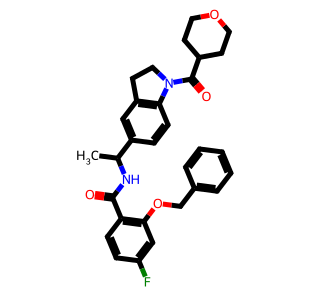 CC(NC(=O)c1ccc(F)cc1OCc1ccccc1)c1ccc2c(c1)CCN2C(=O)C1CCOCC1